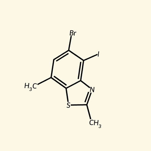 Cc1nc2c(I)c(Br)cc(C)c2s1